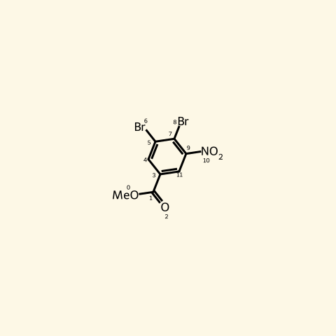 COC(=O)c1cc(Br)c(Br)c([N+](=O)[O-])c1